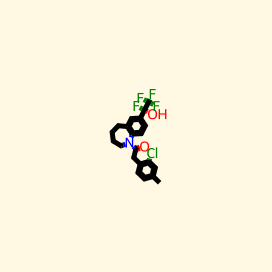 Cc1ccc(CC(=O)N2CCCCc3cc(C(O)(F)C(F)(F)F)ccc32)c(Cl)c1